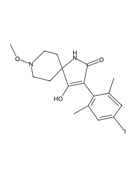 CON1CCC2(CC1)NC(=O)C(c1c(C)cc(I)cc1C)=C2O